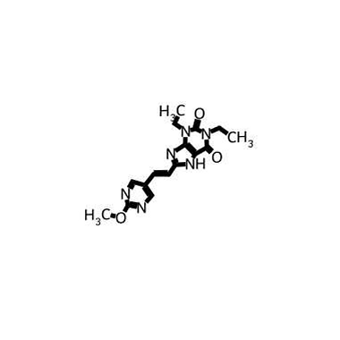 CCn1c(=O)c2[nH]c(C=Cc3cnc(OC)nc3)nc2n(CC)c1=O